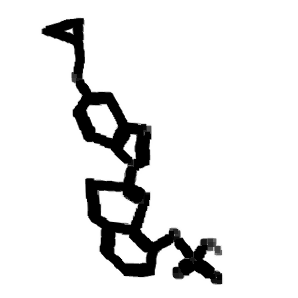 O=S(=O)(Oc1cccc2ccc(-n3cnc4cc(OCC5CC5)ccc43)nc12)C(F)(F)F